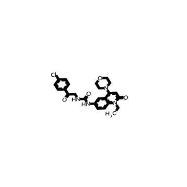 CCn1c(=O)cc(N2CCOCC2)c2cc(NC(=O)NCC(=O)c3ccc(Cl)cc3)ccc21